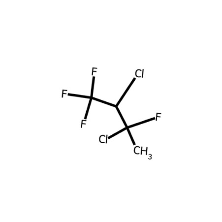 CC(F)(Cl)C(Cl)C(F)(F)F